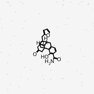 NC(=O)c1ccc2c(c1O)C13CCC(Cc4ccco4)[C@H](C2)[C@]1(O)CCC(=O)C3